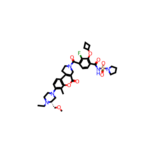 CCN1CCN(c2ccc3c4c(c(=O)oc3c2C)CN(C(=O)c2ccc(C(=O)NS(=O)(=O)N3CCCC3)c(OC3CCC3)c2F)CC4)C[C@@H]1COC